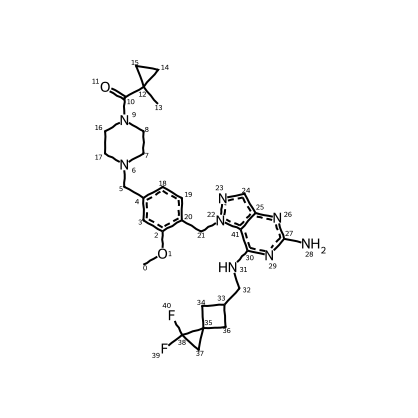 COc1cc(CN2CCN(C(=O)C3(C)CC3)CC2)ccc1Cn1ncc2nc(N)nc(NCC3CC4(C3)CC4(F)F)c21